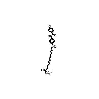 O=C(Nc1ccc([S+]([O-])CCCCCCCCCCCCC(Cl)C(=O)O)cc1)c1ccc(Cl)cc1